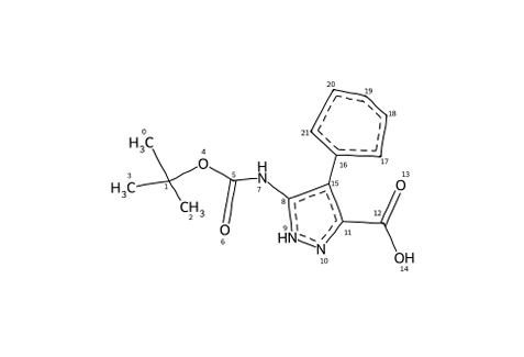 CC(C)(C)OC(=O)Nc1[nH]nc(C(=O)O)c1-c1ccccc1